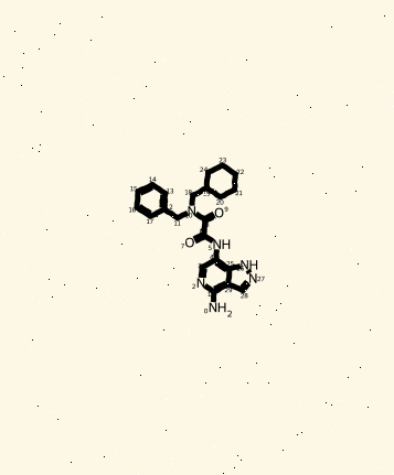 Nc1ncc(NC(=O)C(=O)N(Cc2ccccc2)CC2CCCCC2)c2[nH]ncc12